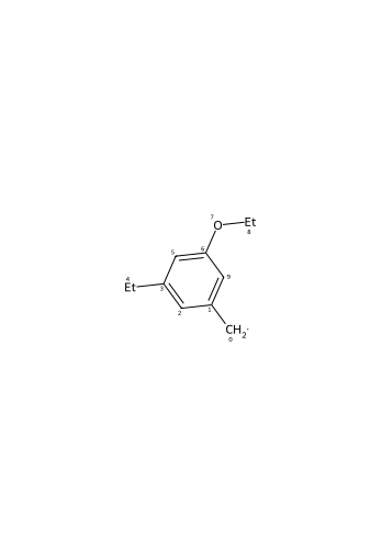 [CH2]c1cc(CC)cc(OCC)c1